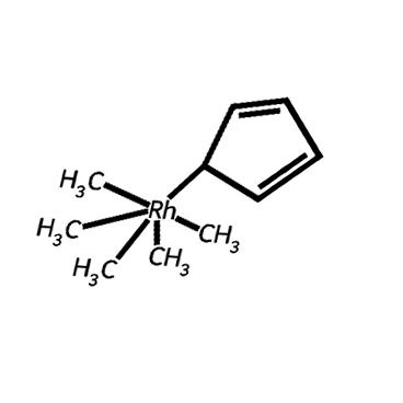 [CH3][Rh]([CH3])([CH3])([CH3])([CH3])[CH]1C=CC=C1